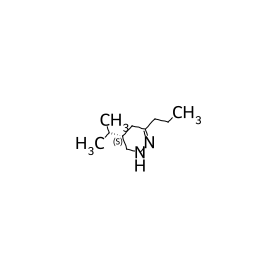 CCCC1=NNC[C@H](C(C)C)C1